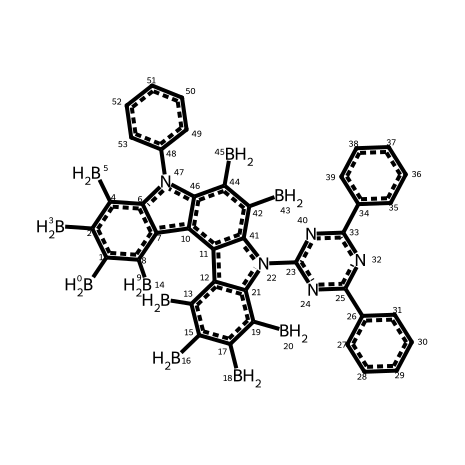 Bc1c(B)c(B)c2c(c1B)c1c3c4c(B)c(B)c(B)c(B)c4n(-c4nc(-c5ccccc5)nc(-c5ccccc5)n4)c3c(B)c(B)c1n2-c1ccccc1